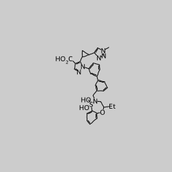 CCC1CN(Cc2cccc(-c3cccc(-n4ncc(C(=O)O)c4C4CC4c4cn(C)nn4)c3)c2)S(O)(O)c2ccccc2O1